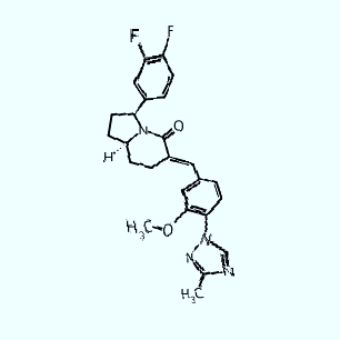 COc1cc(/C=C2\CC[C@H]3CC[C@@H](c4ccc(F)c(F)c4)N3C2=O)ccc1-n1cnc(C)n1